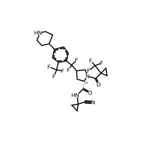 N#CC1(NC(=O)[C@@H]2CC(C(F)(F)c3ccc(C4CCNCC4)cc3C(F)(F)F)CN2C(=O)C2(C(F)(F)F)CC2)CC1